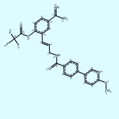 COc1ccc(-c2ccc(C(=O)NC/C=C/c3cc(C(=N)N)ccc3OC(=O)C(F)(F)F)cc2)cn1